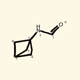 O=[C]NC12CC(C1)C2